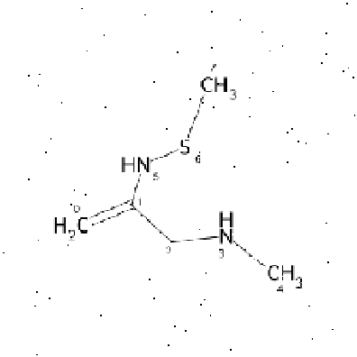 C=C(CNC)NSC